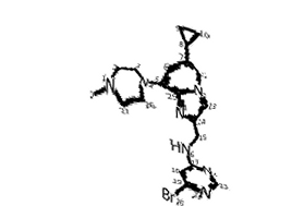 CN1CCN(c2cc(C3CC3)cn3cc(CNc4cc(Br)ncn4)nc23)CC1